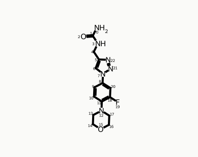 NC(=O)NCc1cn(-c2ccc(N3CCOCC3)c(F)c2)nn1